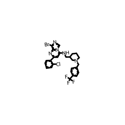 FC(F)(F)c1ccc(CN2CCCC(CNc3cc(-c4ccccc4Cl)nc4c(Br)ncn34)C2)cc1